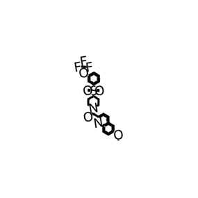 COc1ccc2nc(C(=O)N3CCC(S(=O)(=O)c4cccc(OC(F)(F)F)c4)CC3)ccc2c1